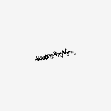 CNC(Cc1ccc(NC(=O)CNC(=O)CNC(=O)CNC(=O)CNC(=O)CN)cc1)CC(C)(C)C(=O)O